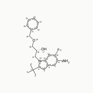 CC(C)(C)c1cc2cc(N)c(F)cc2n1C[C@@H](O)COCc1ccccc1